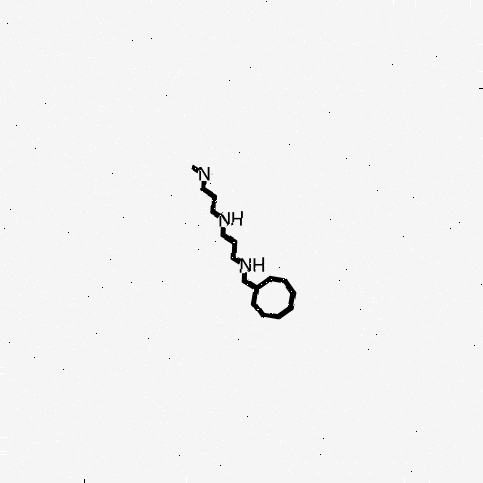 C[N]CCCNCCCNCC1CCCCCCC1